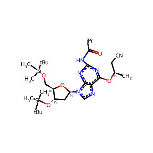 CC(C)C(=O)Nc1nc(O[C@H](C)CC#N)c2ncn([C@H]3C[C@H](O[Si](C)(C)C(C)(C)C)[C@@H](CO[Si](C)(C)C(C)(C)C)O3)c2n1